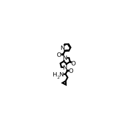 NC(CC1CC1)C(=O)N1CCC2C1C(=O)CN2C(=O)c1ccccn1